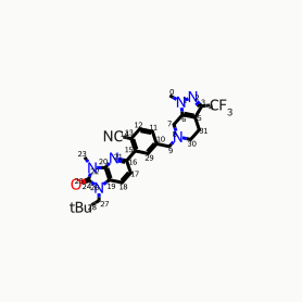 Cn1nc(C(F)(F)F)c2c1CN(Cc1ccc(C#N)c(-c3ccc4c(n3)n(C)c(=O)n4CC(C)(C)C)c1)CC2